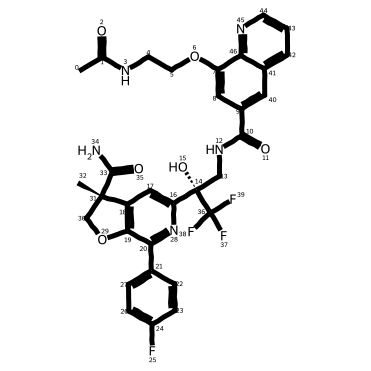 CC(=O)NCCOc1cc(C(=O)NC[C@](O)(c2cc3c(c(-c4ccc(F)cc4)n2)OC[C@]3(C)C(N)=O)C(F)(F)F)cc2cccnc12